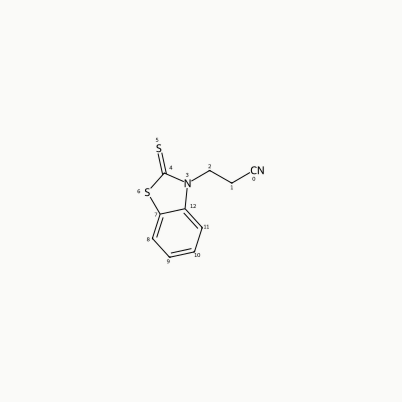 N#CCCn1c(=S)sc2ccccc21